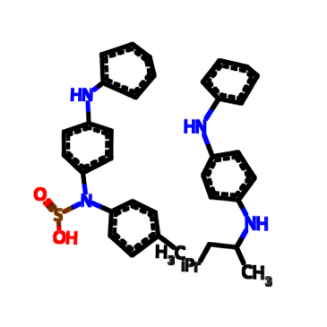 CC(C)CC(C)Nc1ccc(Nc2ccccc2)cc1.Cc1ccc(N(c2ccc(Nc3ccccc3)cc2)S(=O)O)cc1